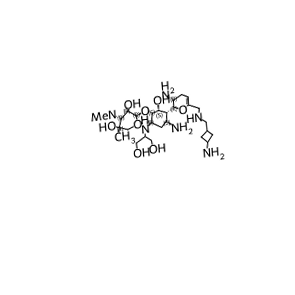 CN[C@@H]1[C@@H](O)[C@@H](O[C@H]2[C@H](NC(CO)CO)C[C@H](N)C([C@H]3OC(CNCC4CC(N)C4)=CC[C@H]3N)[C@@H]2O)OC[C@]1(C)O